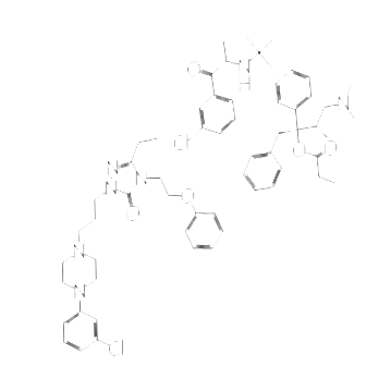 CC(NC(C)(C)C)C(=O)c1cccc(Cl)c1.CCC(=O)O[C@](Cc1ccccc1)(c1ccccc1)[C@H](C)CN(C)C.CCc1nn(CCCN2CCN(c3cccc(Cl)c3)CC2)c(=O)n1CCOc1ccccc1